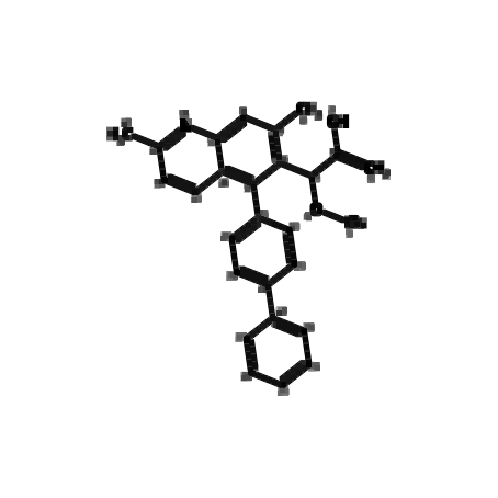 C=C(O)C(OC(C)(C)C)c1c(C)cc2nc(C)ccc2c1-c1ccc(-c2ccccc2)cc1